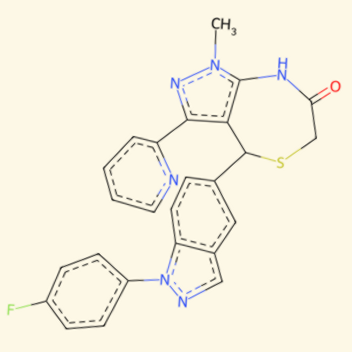 Cn1nc(-c2ccccn2)c2c1NC(=O)CSC2c1ccc2c(cnn2-c2ccc(F)cc2)c1